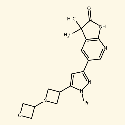 CC(C)n1nc(-c2cnc3c(c2)C(C)(C)C(=O)N3)cc1C1CN(C2COC2)C1